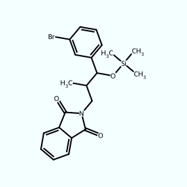 CC(CN1C(=O)c2ccccc2C1=O)C(O[Si](C)(C)C)c1cccc(Br)c1